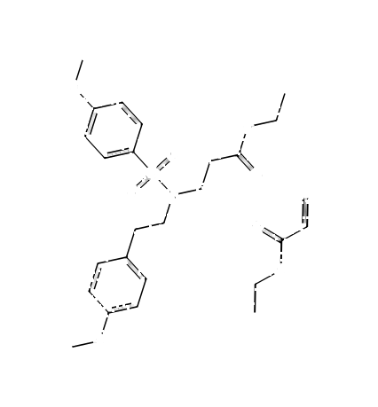 C=CC(=O)OCC.CCOC(=O)CCN(CCc1ccc(OC)cc1)S(=O)(=O)c1ccc(OC)cc1